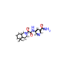 CC1(C)CCCC2CN(C(=O)C(=O)Nc3cncc(C(N)=O)c3)CCC21